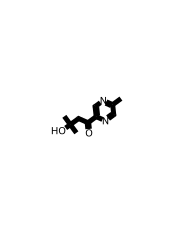 Cc1cnc(C(=O)CC(C)(C)O)cn1